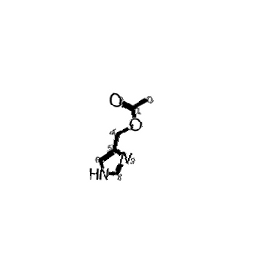 CC(=O)OCc1c[nH]cn1